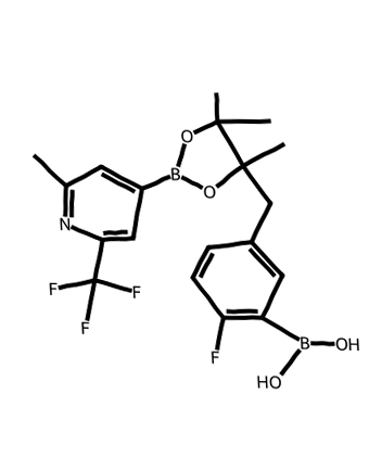 Cc1cc(B2OC(C)(C)C(C)(Cc3ccc(F)c(B(O)O)c3)O2)cc(C(F)(F)F)n1